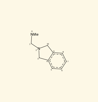 CNCN1Cc2ccccc2C1